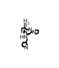 Bc1cnn2c(NCc3cccnc3)cc(N3CCCC3)nc12